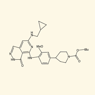 COc1cc(C2CCN(C(=O)OC(C)(C)C)CC2)ccc1Nc1nc(NCC2CC2)cc2cn[nH]c(=O)c12